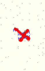 CC(=O)Oc1cccc(C(=O)NCCNC(=O)CN2CCN(CC(=O)NCCCOCCOCCOCCCNC(=O)OCc3ccccc3)CCN(CC(=O)NCCNC(=O)c3cccc(OC(C)=O)c3OC(C)=O)CCN(CC(=O)NCCNC(=O)c3cccc(OC(C)=O)c3OC(C)=O)CC2)c1